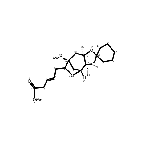 COC(=O)CC=CCC1O[C@@H]2C[C@@]1(OC)C[C@H]1OC3(CCCCC3)O[C@@H]21